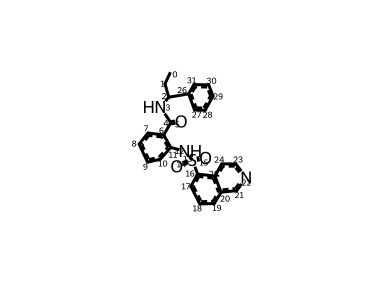 CCC(NC(=O)c1ccccc1NS(=O)(=O)c1cccc2cnccc12)c1ccccc1